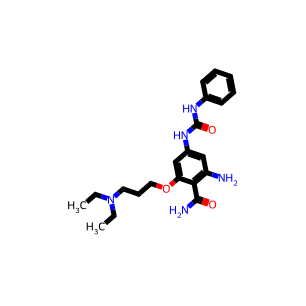 CCN(CC)CCCOc1cc(NC(=O)Nc2ccccc2)cc(N)c1C(N)=O